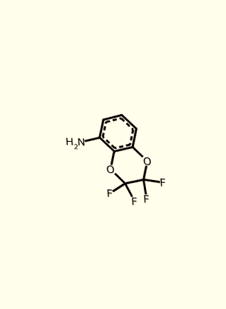 Nc1cccc2c1OC(F)(F)C(F)(F)O2